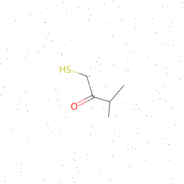 CC(C)C(=O)[CH]S